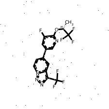 C[C@@H](Oc1ncc(-c2ccn3nnc(C(F)(F)F)c3c2)cc1F)C(F)(F)F